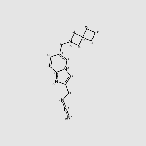 [N-]=[N+]=NCc1cn2cc(CN3CC4(CCC4)C3)ccc2n1